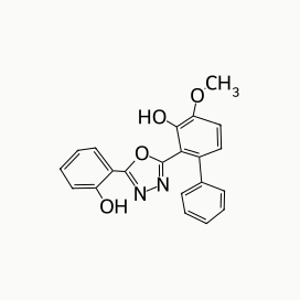 COc1ccc(-c2ccccc2)c(-c2nnc(-c3ccccc3O)o2)c1O